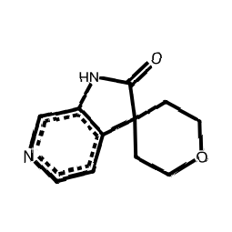 O=C1Nc2cnccc2C12CCOCC2